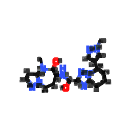 CN1C(=O)[C@@H](NC(=O)c2nc3cccc(-c4cnn(C)c4)n3n2)CCn2nccc21